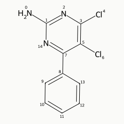 Nc1nc(Cl)c(Cl)c(-c2ccccc2)n1